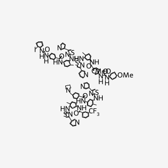 COc1ccc(NC(=O)Nc2ccc(C(=O)Nc3ccc(C)c(Nc4nc(-c5cccnc5)cs4)c3)cc2)c(OC)c1.Cc1ccc(NC(=O)c2ccc(CN3CCCC3)cc2)cc1Nc1nc(-c2cccnc2)cs1.Cc1ccc(NC(=O)c2ccc(NC(=O)Nc3ccccc3I)cc2)cc1Nc1nc(-c2cccnc2)cs1.Cc1ccc(NC(=O)c2cccc(C(F)(F)F)c2)cc1Nc1nc(-c2cccnc2)cs1